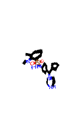 C=C/N=C1\C(=C)C=CC=C1S(=O)(=O)Nc1ccc(C(C2CCCC2)N2CCCNCC2)cc1